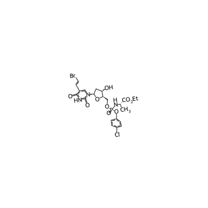 CCOC(=O)[C@H](C)NP(=O)(OC[C@H]1O[C@@H](n2cc(/C=C/Br)c(=O)[nH]c2=O)C[C@H]1O)Oc1ccc(Cl)cc1